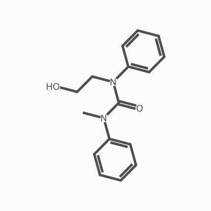 CN(C(=O)N(CCO)c1ccccc1)c1ccccc1